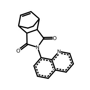 O=C1C2C3C=CC(CC3)C2C(=O)N1c1cccc2cccnc12